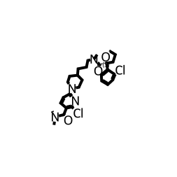 CN(C)C(=O)c1ccc(N2CCC(CCCN(C)C(=O)[C@@]3(c4ccccc4Cl)CCCO3)CC2)nc1Cl